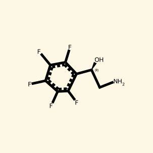 NC[C@H](O)c1c(F)c(F)c(F)c(F)c1F